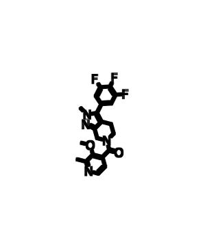 COc1c(C(=O)N2CCc3c(nn(C)c3-c3cc(F)c(F)c(F)c3)C2)ccnc1C